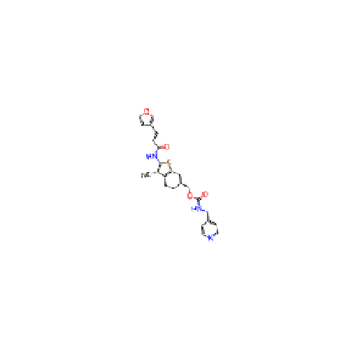 N#Cc1c(NC(=O)C=Cc2ccoc2)sc2c1CCC(COC(=O)NCc1ccncc1)C2